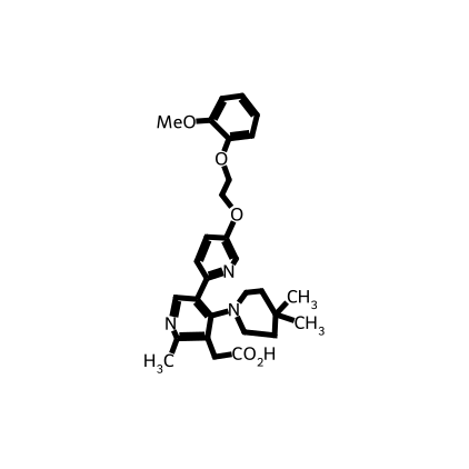 COc1ccccc1OCCOc1ccc(-c2cnc(C)c(CC(=O)O)c2N2CCC(C)(C)CC2)nc1